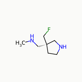 CNC[C@@]1(CF)CCNC1